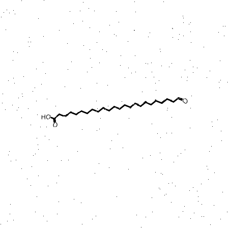 O=CCCCCCCCCCCCCCCCCCCCCCCC(=O)O